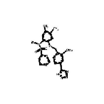 COc1cc(-c2nnn[nH]2)ccc1COc1cc(C)c(C)cc1N(C(C)C)S(=O)(=O)c1ccccn1